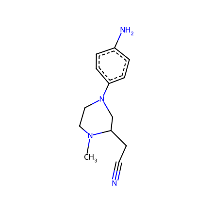 CN1CCN(c2ccc(N)cc2)CC1CC#N